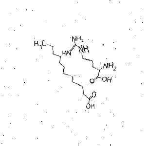 CCCCCCCCCCCC(=O)O.N=C(N)NCCC[C@H](N)C(=O)O